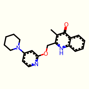 Cc1c(COc2cc(N3CCCCC3)ccn2)[nH]c2ccccc2c1=O